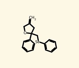 C=C1COC(C[Se]c2ccccc2)(c2ccccc2)C1